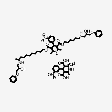 CC1=C(C(=O)O)C(c2cccc([N+](=O)[O-])c2)C(C(=O)O)=C(C)N1.CC1=C(C(=O)OCCCCCCCCCC(C)NCC(O)COc2ccccc2)C(c2cccc([N+](=O)[O-])c2)C(C(=O)OCCCCCCNCC(O)COc2ccccc2)=C(C)N1C.Cl.Cl